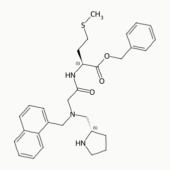 CSCC[C@H](NC(=O)CN(Cc1cccc2ccccc12)C[C@@H]1CCCN1)C(=O)OCc1ccccc1